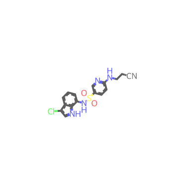 N#CCCNc1ccc(S(=O)(=O)Nc2cccc3c(Cl)c[nH]c23)cn1